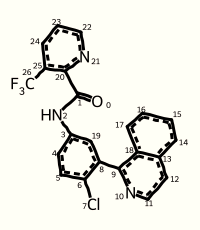 O=C(Nc1ccc(Cl)c(-c2nccc3ccccc23)c1)c1ncccc1C(F)(F)F